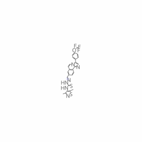 Cc1nsc(C)c1NC(=S)N/N=C/c1ccc2c(ccn3c(-c4ccc(OC(F)(F)F)cc4)cnc23)c1